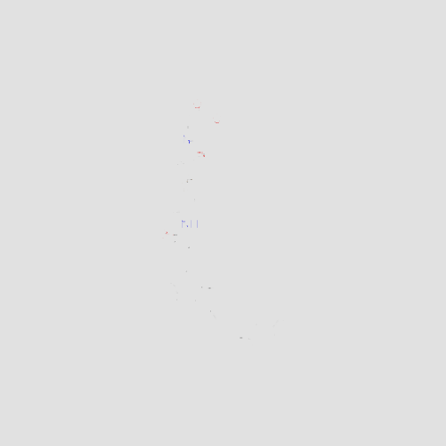 CC/C=C\C/C=C\C/C=C\C/C=C\C/C=C\CCCC(=O)NCCSSCC(=O)NC(CO)CO